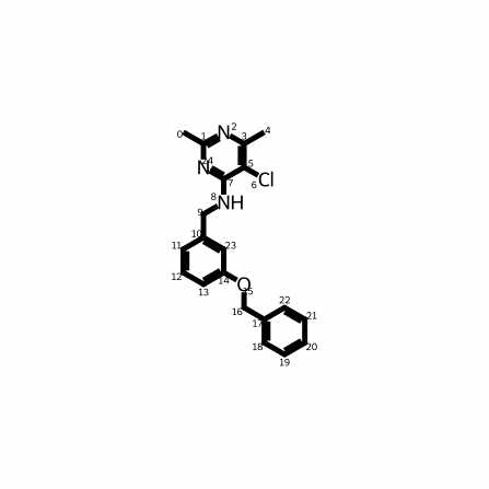 Cc1nc(C)c(Cl)c(NCc2cccc(OCc3ccccc3)c2)n1